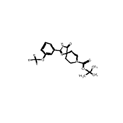 CC(C)(C)OC(=O)N1CCC2(CC1)N=C(c1cccc(OC(F)(F)F)c1)NC2=O